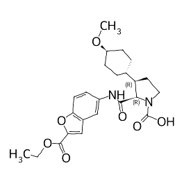 CCOC(=O)c1cc2cc(NC(=O)[C@H]3[C@@H]([C@H]4CC[C@H](OC)CC4)CCN3C(=O)O)ccc2o1